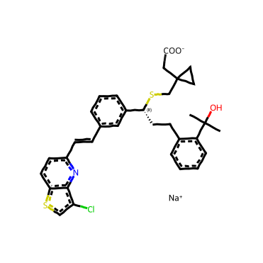 CC(C)(O)c1ccccc1CC[C@@H](SCC1(CC(=O)[O-])CC1)c1cccc(C=Cc2ccc3scc(Cl)c3n2)c1.[Na+]